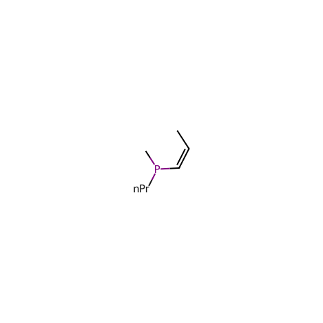 C/C=C\P(C)CCC